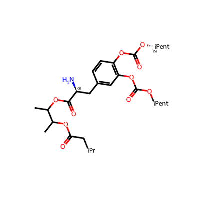 CCCC(C)OC(=O)Oc1cc(C[C@H](N)C(=O)OC(C)C(C)OC(=O)CC(C)C)ccc1OC(=O)O[C@@H](C)CCC